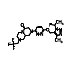 Cc1nnn(C(C)F)c1COc1ccc(N2CC(=O)N3CCN(CC(F)(F)F)CC3C2)nn1